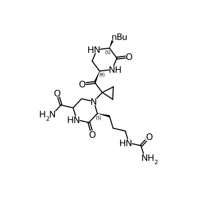 CCCC[C@@H]1NC[C@H](C(=O)C2(N3CC(C(N)=O)NC(=O)[C@@H]3CCCNC(N)=O)CC2)NC1=O